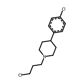 ClCCCN1CCC(c2ccc(Cl)cc2)CC1